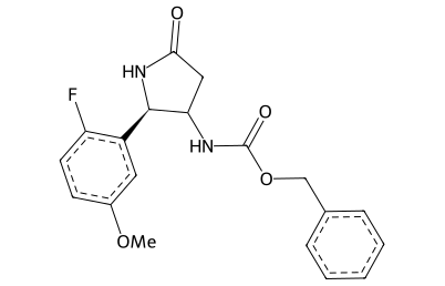 COc1ccc(F)c([C@H]2NC(=O)CC2NC(=O)OCc2ccccc2)c1